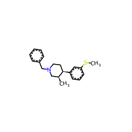 CSc1cccc([C@@H]2CCN(Cc3ccccc3)C[C@@H]2C)c1